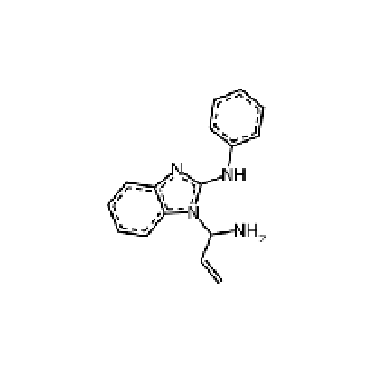 C=CC(N)n1c(Nc2ccccc2)nc2ccccc21